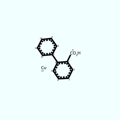 O=C(O)c1ccccc1-c1ccccc1.[Cu]